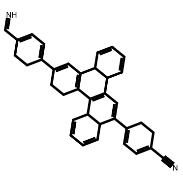 N#CC1=CC=C(C2=CC3=C(C4=C(C=C(C5=CC=C(C=N)CC5)CC4)C4C=CC=CC34)C3C=CC=CC23)CC1